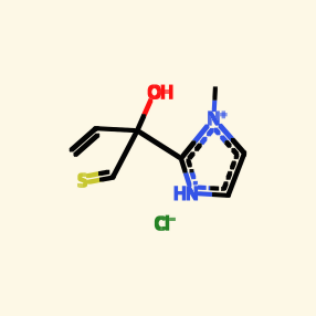 C=CC(O)(C=S)c1[nH]cc[n+]1C.[Cl-]